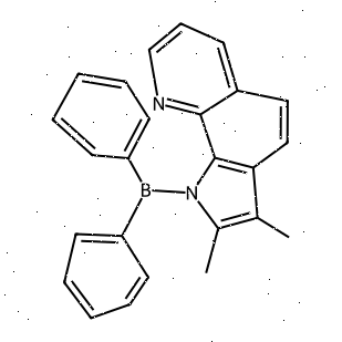 Cc1c(C)n(B(c2ccccc2)c2ccccc2)c2c1ccc1cccnc12